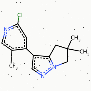 CC1(C)Cc2c(-c3cc(Cl)ncc3C(F)(F)F)cnn2C1